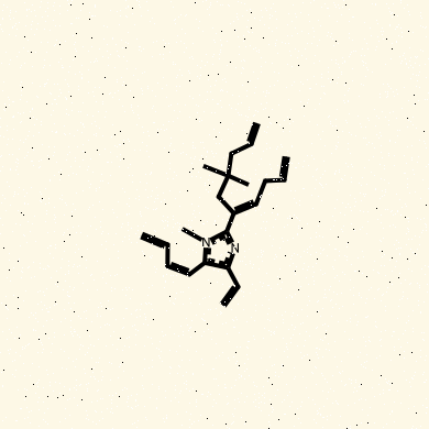 C=C/C=C\c1c(C=C)nc(/C(=C/CC=C)CC(C)(C)CC=C)n1C